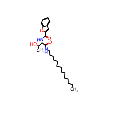 CCCCCCCCCCCCCCNC(=O)[C@@H](NC(=O)c1cc2ccccc2o1)[C@@H](C)O